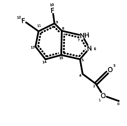 COC(=O)Cc1n[nH]c2c(F)c(F)ccc12